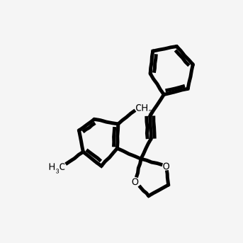 Cc1ccc(C)c(C2(C#Cc3ccccc3)OCCO2)c1